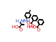 C=C(C)C(=O)O.Cc1ccc(NN)cc1.O=C(O)c1ccccc1.O=C(O)c1ccccc1